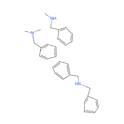 CN(C)Cc1ccccc1.CNCc1ccccc1.c1ccc(CNCc2ccccc2)cc1